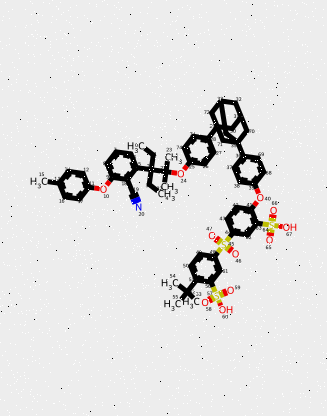 CCC(CC)(c1cccc(Oc2ccc(C)cc2)c1C#N)C(C)(C)Oc1ccc(C23CC4CC(CC(c5ccc(Oc6ccc(S(=O)(=O)c7ccc(C(C)(C)C)c(S(=O)(=O)O)c7)cc6S(=O)(=O)O)cc5)(C4)C2)C3)cc1